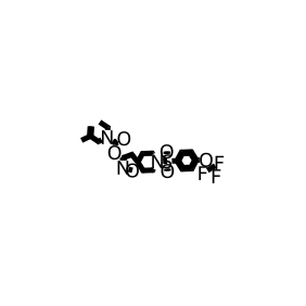 C=C(C)CN(CC)C(=O)OC1=NOC2(CCN(S(=O)(=O)c3ccc(OC(F)(F)F)cc3)CC2)C1